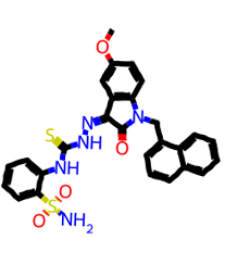 COc1ccc2c(c1)C(=NNC(=S)Nc1ccccc1S(N)(=O)=O)C(=O)N2Cc1cccc2ccccc12